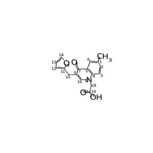 Cc1ccc2c(c1)c(=O)c(Cc1ccco1)cn2CC(=O)O